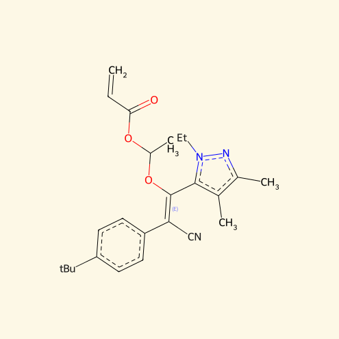 C=CC(=O)OC(C)O/C(=C(/C#N)c1ccc(C(C)(C)C)cc1)c1c(C)c(C)nn1CC